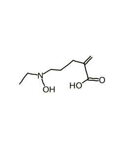 C=C(CCCN(O)CC)C(=O)O